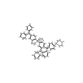 CC(C)(c1ccc(N(c2ccccc2)c2ccccc2)cc1)c1ccc(N(c2ccc(C3CCCCC3)cc2)c2cccc3c2oc2ccccc23)cc1